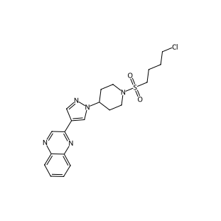 O=S(=O)(CCCCCl)N1CCC(n2cc(-c3cnc4ccccc4n3)cn2)CC1